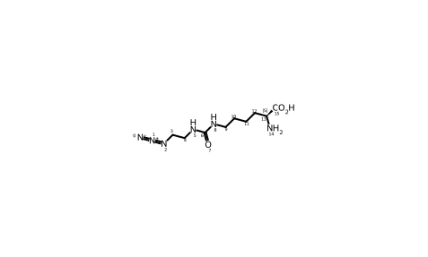 [N-]=[N+]=NCCNC(=O)NCCCC[C@H](N)C(=O)O